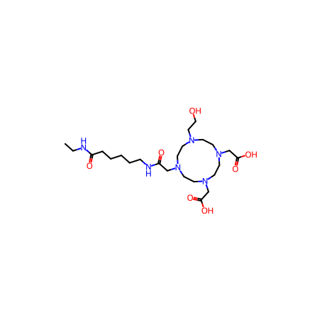 CCNC(=O)CCCCCNC(=O)CN1CCN(CCO)CCN(CC(=O)O)CCN(CC(=O)O)CC1